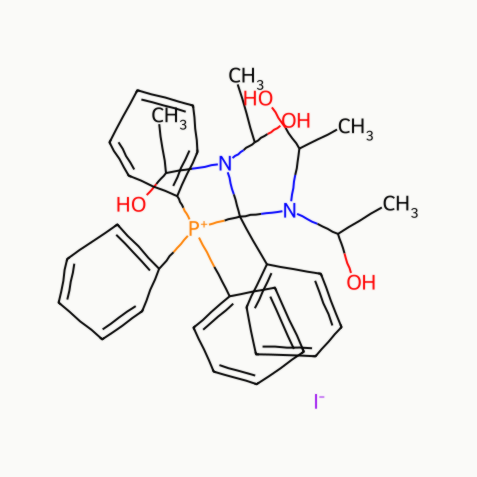 CC(O)N(C(C)O)C(c1ccccc1)(N(C(C)O)C(C)O)[P+](c1ccccc1)(c1ccccc1)c1ccccc1.[I-]